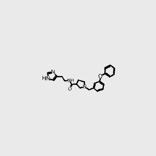 O=C(NCCc1c[nH]cn1)C1CCN(Cc2cccc(Oc3ccccc3)c2)C1